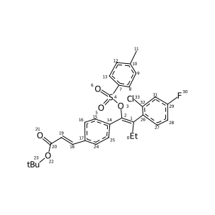 CCC(=C(OS(=O)(=O)c1ccc(C)cc1)c1ccc(C=CC(=O)OC(C)(C)C)cc1)c1ccc(F)cc1Cl